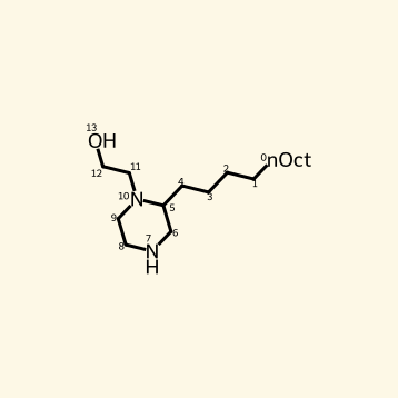 CCCCCCCCCCCCC1CNCCN1CCO